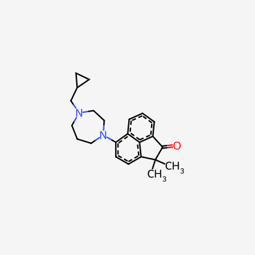 CC1(C)C(=O)c2cccc3c(N4CCCN(CC5CC5)CC4)ccc1c23